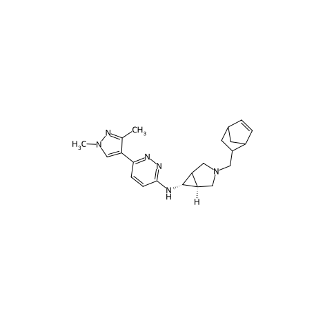 Cc1nn(C)cc1-c1ccc(N[C@@H]2C3CN(CC4CC5C=CC4C5)C[C@H]32)nn1